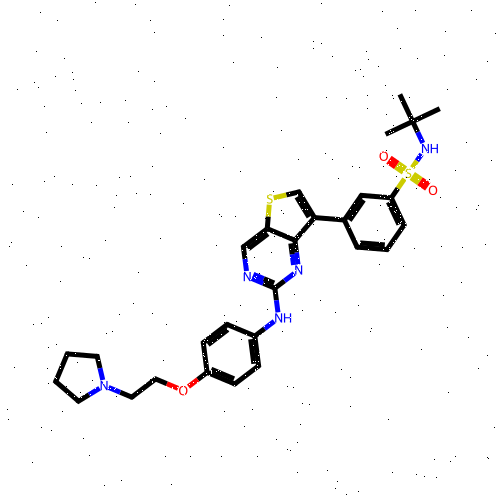 CC(C)(C)NS(=O)(=O)c1cccc(-c2csc3cnc(Nc4ccc(OCCN5CCCC5)cc4)nc23)c1